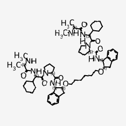 CN[C@@H](C)C(=O)N[C@H](C(=O)N1CCC[C@H]1C(=O)N[C@H]1c2ccccc2C[C@H]1OCCCCCCO[C@@H]1Cc2ccccc2[C@@H]1NC(=O)[C@@H]1CCCN1C(=O)[C@@H](NC(=O)[C@H](C)NC)C1CCCCC1)C1CCCCC1